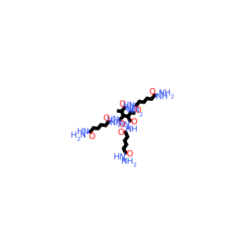 CC(N)C(C(=O)NNC(=O)CCCCC(=O)NN)C(C(=O)NNC(=O)CCCCC(=O)NN)C(C)C(=O)NNC(=O)CCCCC(=O)NN